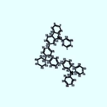 c1ccc(-n2c3ccccc3c3ccc(-c4ccc(C5(c6ccc(-c7ccc8c9ccccc9n(-c9ccccc9)c8c7)cc6)CCCCC5)cc4)cc32)cc1